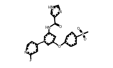 CS(=O)(=O)c1ccc(Oc2cc(NC(=O)c3c[nH]cn3)cc(-c3ccnc(F)c3)c2)cc1